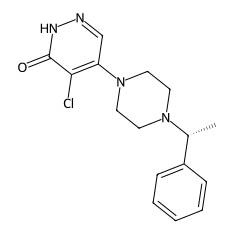 C[C@H](c1ccccc1)N1CCN(c2cn[nH]c(=O)c2Cl)CC1